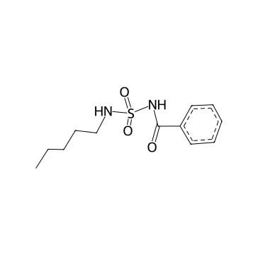 CCCCCNS(=O)(=O)NC(=O)c1ccccc1